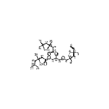 C=CC(C)(C)CC(C)(C)COCC(COC(=O)CC(C)(C)CC(C)C)OC(=O)CC(C)(C)CC(C)(C)C